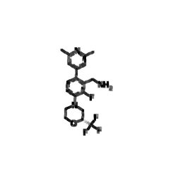 Cc1cc(-c2ccc(N3CCO[C@@H](C(F)(F)F)C3)c(F)c2CN)cc(C)n1